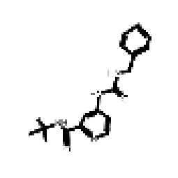 CC(C)(C)NC(=O)c1cc(NC(=O)NCc2ccccc2)ccn1